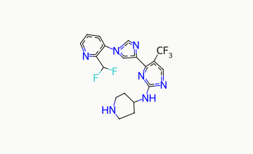 FC(F)c1ncccc1-n1cnc(-c2nc(NC3CCNCC3)ncc2C(F)(F)F)c1